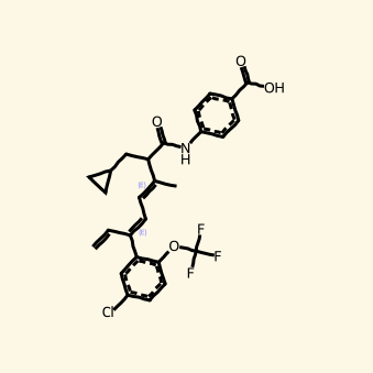 C=C/C(=C\C=C(/C)C(CC1CC1)C(=O)Nc1ccc(C(=O)O)cc1)c1cc(Cl)ccc1OC(F)(F)F